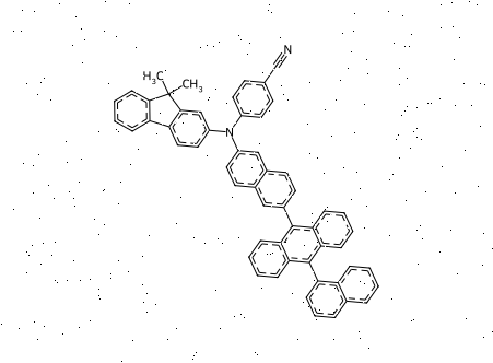 CC1(C)c2ccccc2-c2ccc(N(c3ccc(C#N)cc3)c3ccc4cc(-c5c6ccccc6c(-c6cccc7ccccc67)c6ccccc56)ccc4c3)cc21